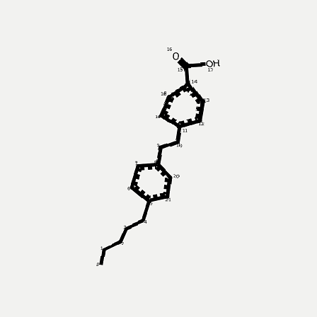 CCCCCc1ccc(CCc2ccc(C(=O)O)cc2)cc1